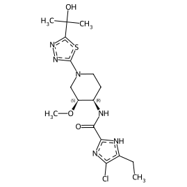 CCc1[nH]c(C(=O)N[C@@H]2CCN(c3nnc(C(C)(C)O)s3)C[C@@H]2OC)nc1Cl